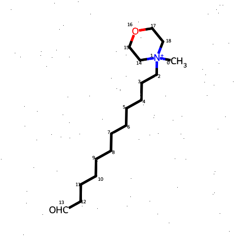 C[N+]1(CCCCCCCCCCCC=O)CCOCC1